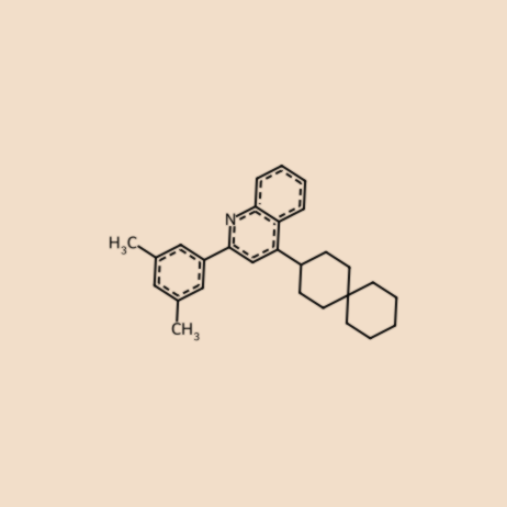 Cc1cc(C)cc(-c2cc(C3CCC4(CCCCC4)CC3)c3ccccc3n2)c1